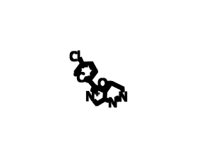 Clc1ccc(C2=[N+]3CC4N=NCC(O3)C24)cc1